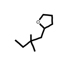 CCC(C)(C)CC1CCCO1